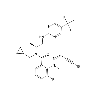 CCC#C/C=N\N(C)c1c(F)cccc1C(=O)N(CC1CC1)[C@@H](C)CNc1ncc(C(C)(F)F)cn1